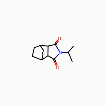 CC(C)N1C(=O)C2C3CCC(CC3)C2C1=O